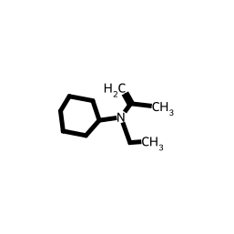 C=C(C)N(CC)C1CCCCC1